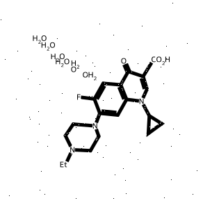 CCN1CCN(c2cc3c(cc2F)c(=O)c(C(=O)O)cn3C2CC2)CC1.O.O.O.O.O.O